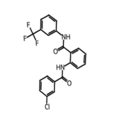 O=C(Nc1ccccc1C(=O)Nc1cccc(C(F)(F)F)c1)c1cccc(Cl)c1